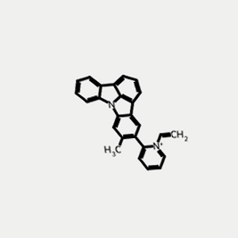 C=C[n+]1ccccc1-c1cc2c3cccc4c5ccccc5n(c2cc1C)c43